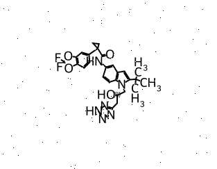 CC(C)(C)c1cc2cc(NC(=O)C3(c4ccc5c(c4)OC(F)(F)O5)CC3)ccc2n1C[C@H](O)Cc1nn[nH]n1